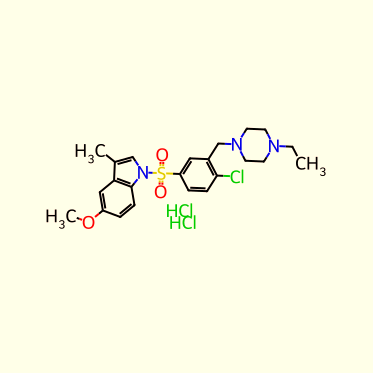 CCN1CCN(Cc2cc(S(=O)(=O)n3cc(C)c4cc(OC)ccc43)ccc2Cl)CC1.Cl.Cl